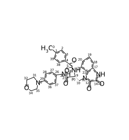 Cc1ccc(S(=O)(=O)N[C@H](Cn2c(=O)c(=O)[nH]c3ccccc32)C(=O)Nc2ccc(N3CCOCC3)cc2)cc1